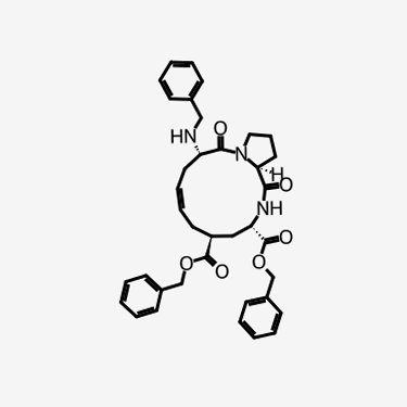 O=C(OCc1ccccc1)[C@H]1CC=CC[C@H](NCc2ccccc2)C(=O)N2CCC[C@H]2C(=O)N[C@H](C(=O)OCc2ccccc2)C1